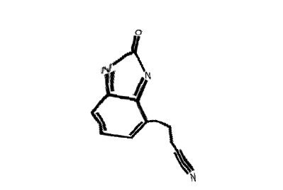 N#CCc1cccc2c1=NC(=O)N=2